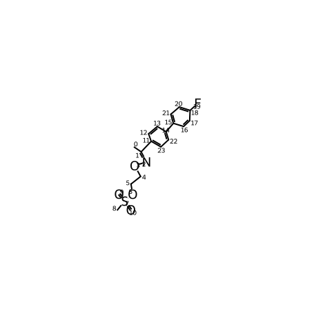 CC(=NOCCOS(C)(=O)=O)c1ccc(-c2ccc(F)cc2)cc1